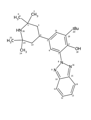 CC1(C)CC(c2cc(-n3nc4ccccc4n3)c(O)c(C(C)(C)C)c2)CC(C)(C)N1